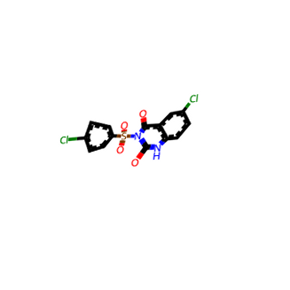 O=c1[nH]c2ccc(Cl)cc2c(=O)n1S(=O)(=O)c1ccc(Cl)cc1